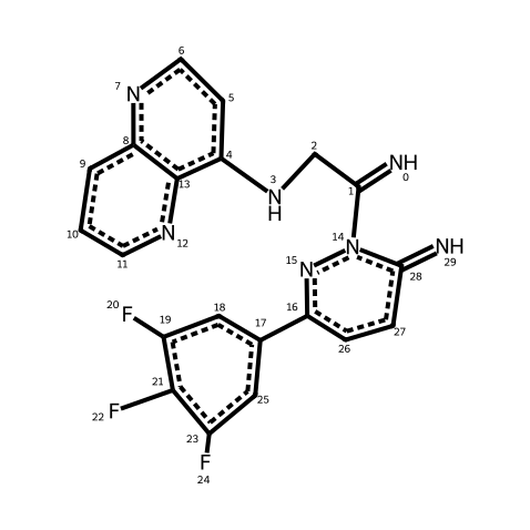 N=C(CNc1ccnc2cccnc12)n1nc(-c2cc(F)c(F)c(F)c2)ccc1=N